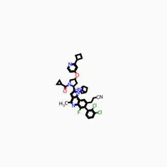 Cc1nc2c(F)c(-c3cccc(Cl)c3Cl)c(CCC#N)cc2c2c1cc(C1CC(Oc3ccnc(C4CCC4)c3)CN1C(=O)C1CC1)n2C1C2CNC1C2